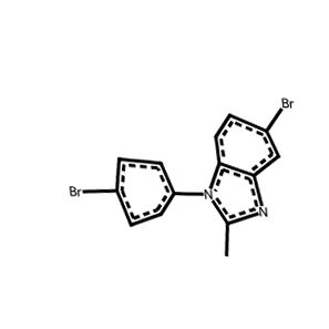 Cc1nc2cc(Br)ccc2n1-c1ccc(Br)cc1